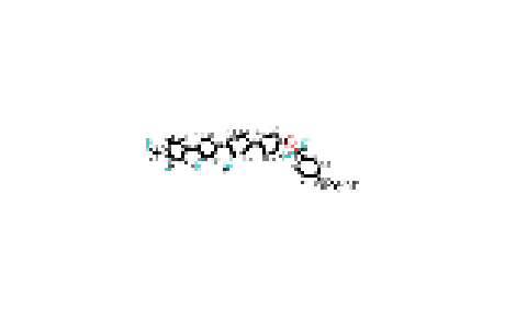 CCCCCc1ccc(C(F)(F)Oc2ccc(-c3ccc(-c4ccc(-c5ccc(CF)c(F)c5)c(F)c4)c(F)c3)cc2)cc1